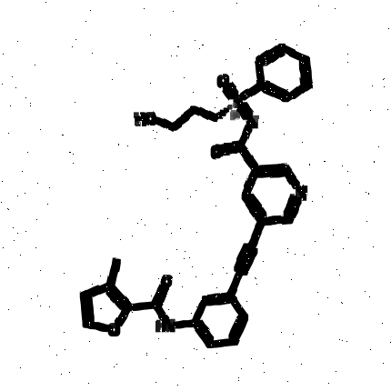 Cc1ccoc1C(=O)Nc1cccc(C#Cc2cncc(C(=O)N=[S@](=O)(CCCO)c3ccccc3)c2)c1